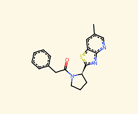 Cc1cnc2nc([C@H]3CCCN3C(=O)Cc3ccccc3)sc2c1